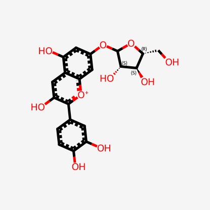 OC[C@H]1OC(Oc2cc(O)c3cc(O)c(-c4ccc(O)c(O)c4)[o+]c3c2)[C@@H](O)[C@@H]1O